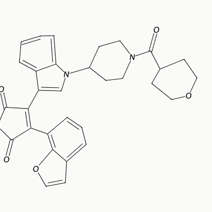 O=C1NC(=O)C(c2cccc3ccoc23)=C1c1cn(C2CCN(C(=O)C3CCOCC3)CC2)c2ccccc12